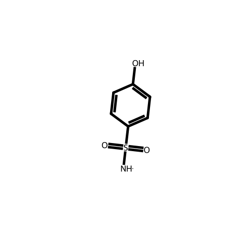 [NH]S(=O)(=O)c1ccc(O)cc1